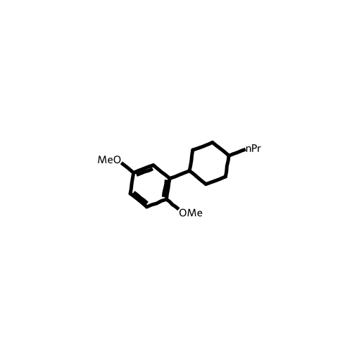 CCCC1CCC(c2cc(OC)ccc2OC)CC1